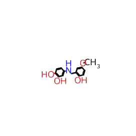 COc1ccc(O)c(CNc2ccc(O)c(O)c2)c1